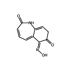 O=C1C=CC=C2C(=CCC(=O)C2=NO)N1